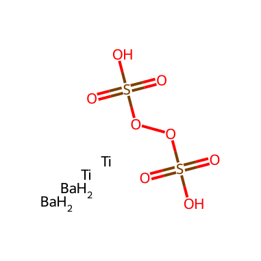 O=S(=O)(O)OOS(=O)(=O)O.[BaH2].[BaH2].[Ti].[Ti]